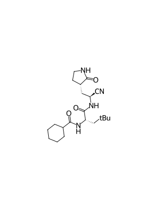 CC(C)(C)C[C@H](NC(=O)C1CCCCC1)C(=O)N[C@H](C#N)C[C@@H]1CCNC1=O